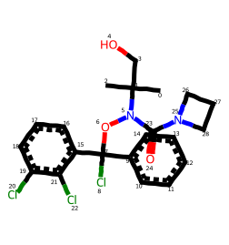 CC(C)(CO)N(OC(Cl)(c1ccccc1)c1cccc(Cl)c1Cl)C(=O)N1CCC1